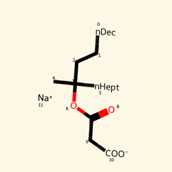 CCCCCCCCCCCCC(C)(CCCCCCC)OC(=O)CC(=O)[O-].[Na+]